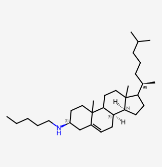 CCCCCN[C@H]1CCC2(C)C(=CC[C@H]3C2CCC2(C)C([C@H](C)CCCC(C)C)CC[C@@H]32)C1